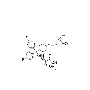 CCN1CC(CCN2CCC(C(O)(c3ccc(F)cc3)c3ccc(F)cc3)CC2)OC1=O.O.O=C(O)C(=O)O